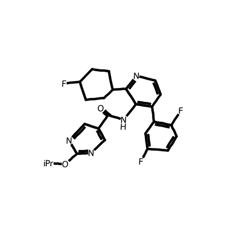 CC(C)Oc1ncc(C(=O)Nc2c(-c3cc(F)ccc3F)ccnc2C2CCC(F)CC2)cn1